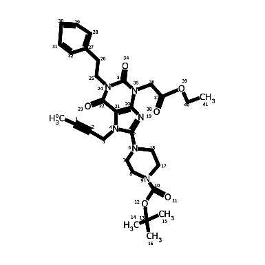 CC#CCn1c(N2CCN(C(=O)OC(C)(C)C)CC2)nc2c1c(=O)n(CCc1ccccc1)c(=O)n2CC(=O)OCC